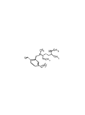 C=CC(CCC(=C)NC)N(C)Cc1cc(C)ccc1C=O